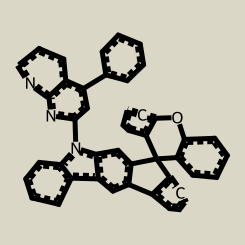 c1ccc(-c2cc(-n3c4ccccc4c4cc5c(cc43)C3(c4ccccc4Oc4ccccc43)c3ccccc3-5)nc3ncccc23)cc1